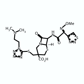 CON=C(C(=O)NC1C(=O)N2CC(CSc3nnnn3CCN(C)C)(C(=O)O)CS[C@H]12)c1csnn1